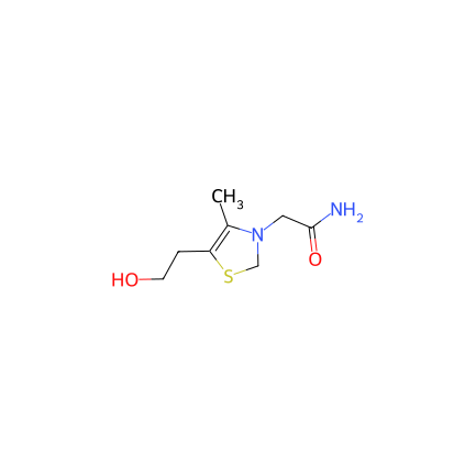 CC1=C(CCO)SCN1CC(N)=O